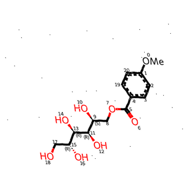 COc1ccc(C(=O)OC[C@H](O)[C@@H](O)[C@H](O)[C@H](O)CO)cc1